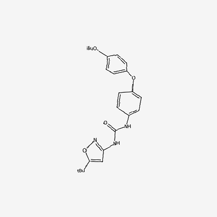 CC(C)COc1ccc(Oc2ccc(NC(=O)Nc3cc(C(C)(C)C)on3)cc2)cc1